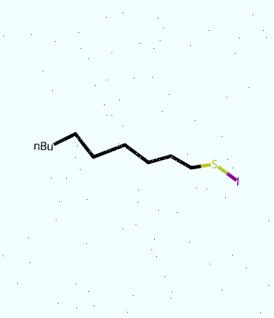 CCCCCCCCCCSI